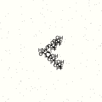 O=C(O)C(F)(F)F.O=C(O)C(F)(F)F.O=C(O)C(F)(F)F.O=C(O)C(F)(F)F.O=C1NC(=O)c2ccccc21